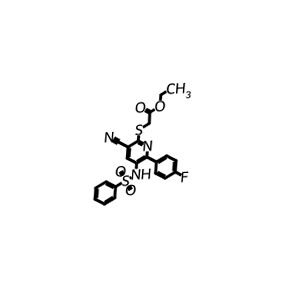 CCOC(=O)CSc1nc(-c2ccc(F)cc2)c(NS(=O)(=O)c2ccccc2)cc1C#N